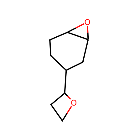 C1CC(C2CCC3OC3C2)O1